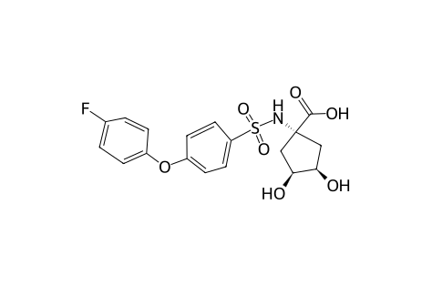 O=C(O)[C@@]1(NS(=O)(=O)c2ccc(Oc3ccc(F)cc3)cc2)C[C@@H](O)[C@@H](O)C1